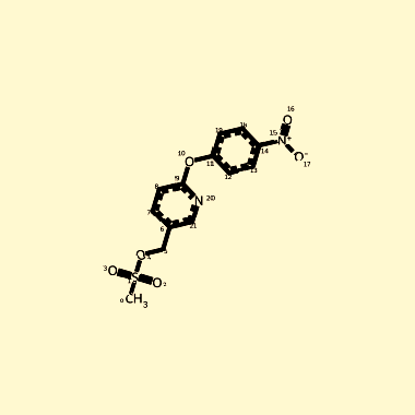 CS(=O)(=O)OCc1ccc(Oc2ccc([N+](=O)[O-])cc2)nc1